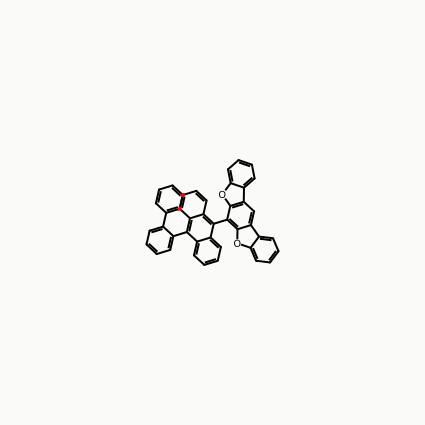 c1ccc(-c2ccccc2-c2c3ccccc3c(-c3c4oc5ccccc5c4cc4c3oc3ccccc34)c3ccccc23)cc1